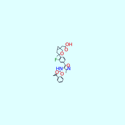 Cc1noc(-c2ccc(C3(C)CC4CC4(CC(=O)O)CO3)c(F)c2)c1NC(=O)O[C@H](C)c1ccccc1